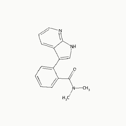 CN(C)C(=O)c1ccccc1-c1c[nH]c2ncccc12